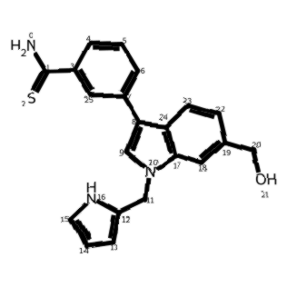 NC(=S)c1cccc(-c2cn(Cc3ccc[nH]3)c3cc(CO)ccc23)c1